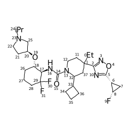 CCC1(c2noc([C@@H]3C[C@@H]3F)n2)CCN(C(=O)N[C@@H]2[C@@H](O[C@H]3CCN(C(C)C)C3)CCCC2(F)F)C(C2CCC2)C1